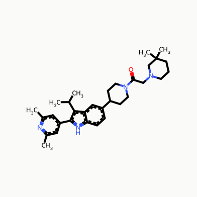 Cc1cc(-c2[nH]c3ccc(C4CCN(C(=O)CN5CCCC(C)(C)C5)CC4)cc3c2C(C)C)cc(C)n1